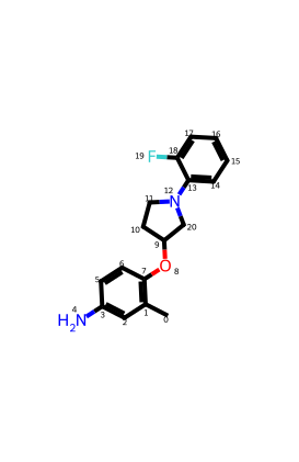 Cc1cc(N)ccc1OC1CCN(c2ccccc2F)C1